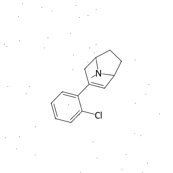 CN1C2C=C(c3ccccc3Cl)CC1CC2